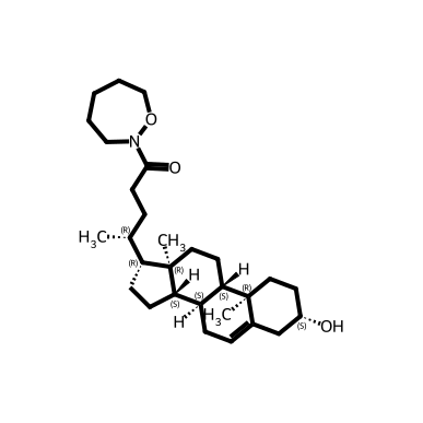 C[C@H](CCC(=O)N1CCCCCO1)[C@H]1CC[C@H]2[C@@H]3CC=C4C[C@@H](O)CC[C@]4(C)[C@H]3CC[C@]12C